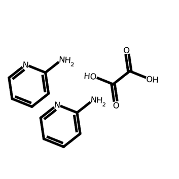 Nc1ccccn1.Nc1ccccn1.O=C(O)C(=O)O